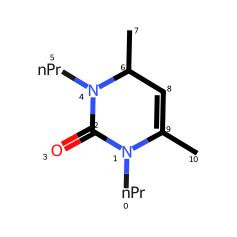 CCCN1C(=O)N(CCC)C(C)C=C1C